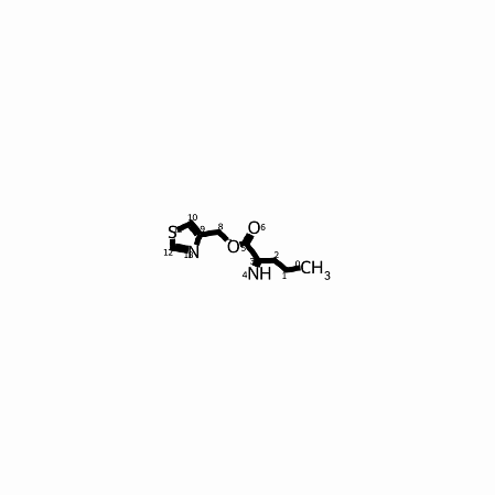 CCCC(=N)C(=O)OCc1cscn1